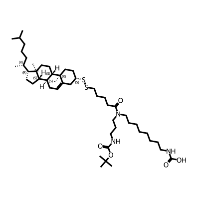 CC(C)CCC[C@@H](C)[C@H]1CC[C@H]2[C@@H]3CC=C4C[C@@H](SSCCCCC(=O)N(CCCCCCCCNC(=O)O)CCCNC(=O)OC(C)(C)C)CC[C@]4(C)[C@H]3CC[C@]12C